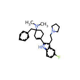 CN(C)C1(Cc2ccccc2)CC=C(c2[nH]c3ccc(F)cc3c2CCN2CCCC2)CC1